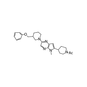 CC(=O)N1CCC(c2cc3nc(N4CCCC(COc5ccccc5)C4)cnc3n2C)CC1